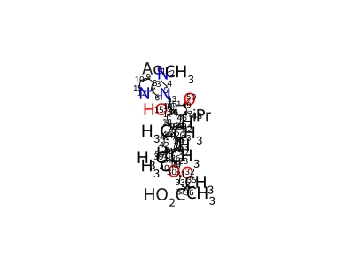 CC(=O)N(C)CCN(Cc1ccccn1)C[C@H](O)[C@@]12CC[C@]3(C)[C@H](CC[C@@H]4[C@@]5(C)CC[C@H](OC(=O)CC(C)(C)C(=O)O)C(C)(C)[C@@H]5CC[C@]43C)C1=C(C(C)C)C(=O)C2